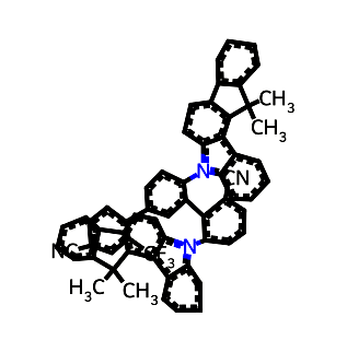 CC1(C)c2ccccc2-c2ccc3c(c21)c1ccccc1n3-c1ccc(-c2ccc(C#N)cc2C(F)(F)F)cc1-c1c(C#N)cccc1-n1c2ccccc2c2c3c(ccc21)-c1ccccc1C3(C)C